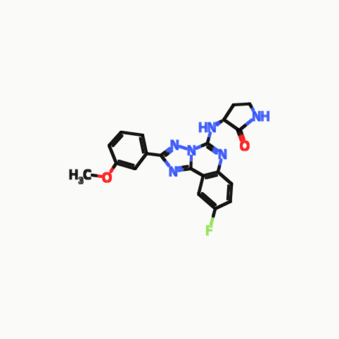 COc1cccc(-c2nc3c4cc(F)ccc4nc(N[C@H]4CCNC4=O)n3n2)c1